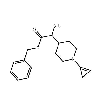 CC(C(=O)OCc1ccccc1)C1CCN(C2=CC2)CC1